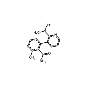 Cc1nccc(-c2cccnc2N(C)C(C)C)c1C(N)=O